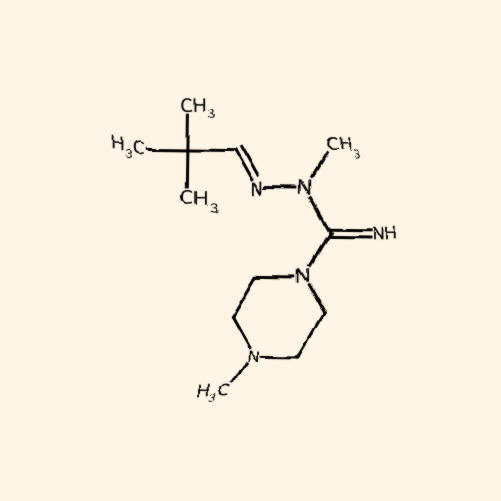 CN1CCN(C(=N)N(C)/N=C/C(C)(C)C)CC1